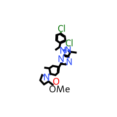 COC(=O)C1CCCN1C1CC=C(c2cnc3c(C)nn(C(C)c4ccc(Cl)cc4Cl)c3n2)CC1C